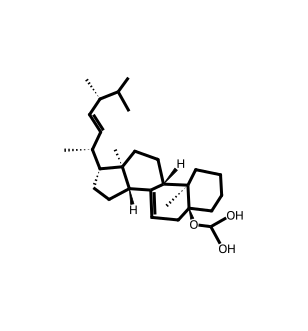 CC(C)[C@@H](C)/C=C/[C@@H](C)[C@H]1CC[C@H]2C3=CC[C@@]4(OC(O)O)CCCC[C@]4(C)[C@H]3CC[C@]12C